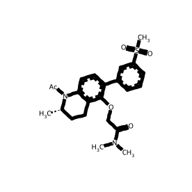 CC(=O)N1c2ccc(-c3cccc(S(C)(=O)=O)c3)c(OCC(=O)N(C)C)c2CC[C@@H]1C